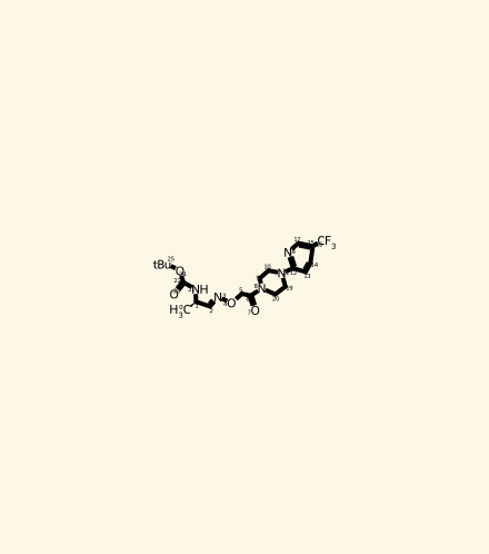 C[C@@H](/C=N/OCC(=O)N1CCN(c2ccc(C(F)(F)F)cn2)CC1)NC(=O)OC(C)(C)C